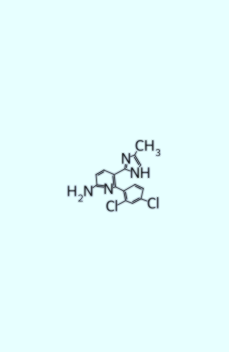 Cc1c[nH]c(-c2ccc(N)nc2-c2ccc(Cl)cc2Cl)n1